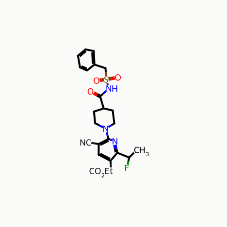 CCOC(=O)c1cc(C#N)c(N2CCC(C(=O)NS(=O)(=O)Cc3ccccc3)CC2)nc1C(C)F